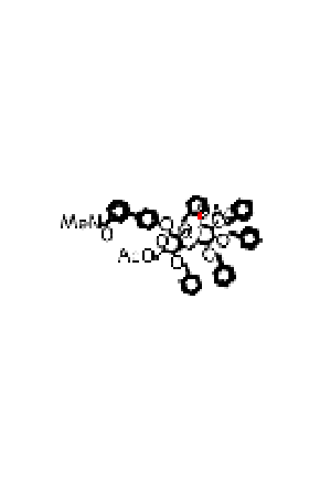 CNC(=O)c1cccc(-c2ccc(O[C@H]3O[C@H](COC(C)=O)[C@@H](OCc4ccccc4)[C@H](C[C@H]4O[C@H](COC(C)=O)[C@@H](OCc5ccccc5)[C@@H](OCc5ccccc5)[C@@H]4OCc4ccccc4)[C@@H]3OCc3ccccc3)cc2)c1